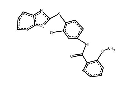 COc1ccccc1C(=O)Nc1ccc(Sc2nc3ccccc3s2)c(Cl)c1